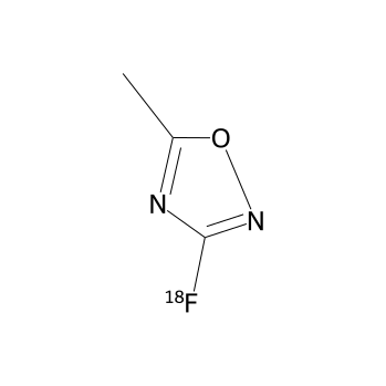 Cc1nc([18F])no1